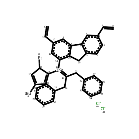 C=Cc1ccc2c(c1)-c1cc(C=C)c[c]([Zr+2]([C]3=CC(C(C)(C)C)=CC3CC)=[C](Cc3ccccc3)Cc3ccccc3)c1C2.[Cl-].[Cl-]